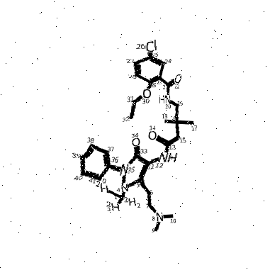 [2H]C([2H])([2H])n1c(CCN(C)C)c(NC(=O)CC(C)(C)CNC(=O)c2cc(Cl)ccc2OCC)c(=O)n1-c1ccccc1